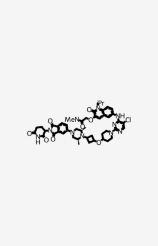 CNC(=O)COc1cc2cc(Nc3nc(N4CCC(OC5CC(N6[C@H](C)CN(c7ccc8c(c7)C(=O)N(C7CCC(=O)NC7=O)C8=O)C[C@@H]6C)C5)CC4)ncc3Cl)ccc2n(C(C)C)c1=O